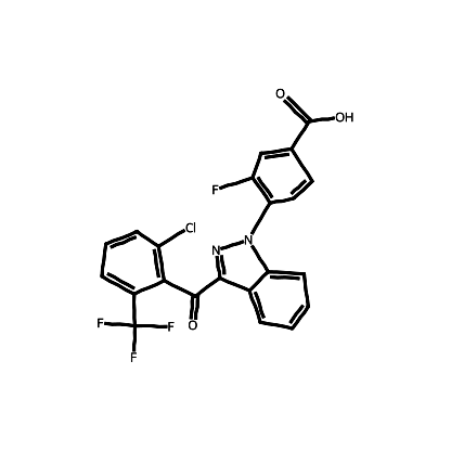 O=C(O)c1ccc(-n2nc(C(=O)c3c(Cl)cccc3C(F)(F)F)c3ccccc32)c(F)c1